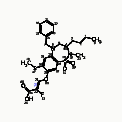 CCCC[C@@H]1CN(Cc2ccccc2)c2cc(SC)c(O/C=C(\F)C(=O)O)cc2S(=O)(=O)N1C